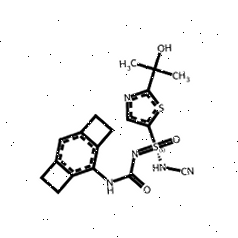 CC(C)(O)c1ncc([S@@](=O)(=NC(=O)Nc2c3c(cc4c2CC4)CC3)NC#N)s1